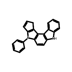 C1=Cc2c(c3c4c(ccc3n2-c2ccccc2)[nH]c2ccccc24)C1